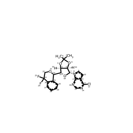 CC1(C)O[C@H]2[C@@H](O1)[C@H](n1ccc3c(Cl)ncnc31)O[C@@H]2[C@@H]1OCC(F)(F)c2ccccc21